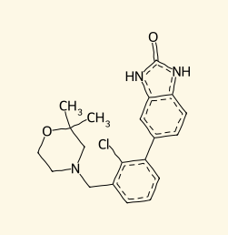 CC1(C)CN(Cc2cccc(-c3ccc4[nH]c(=O)[nH]c4c3)c2Cl)CCO1